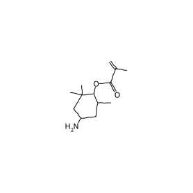 C=C(C)C(=O)OC1C(C)CC(N)CC1(C)C